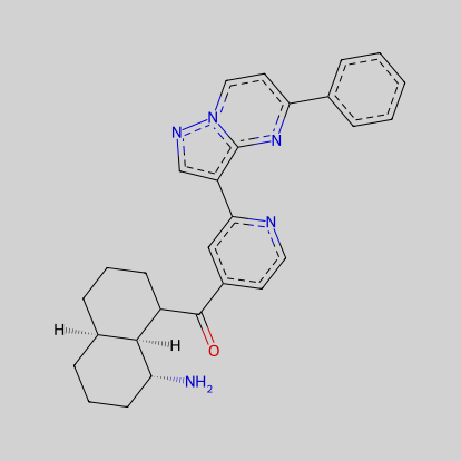 N[C@@H]1CCC[C@H]2CCCC(C(=O)c3ccnc(-c4cnn5ccc(-c6ccccc6)nc45)c3)[C@H]21